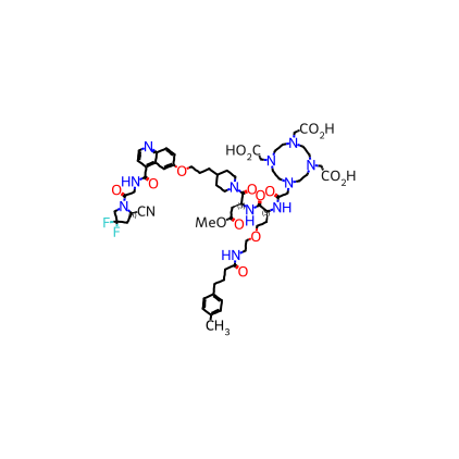 COC(=O)C[C@H](NC(=O)[C@H](CCOCCNC(=O)CCCc1ccc(C)cc1)NC(=O)CN1CCN(CC(=O)O)CCN(CC(=O)O)CCN(CC(=O)O)CC1)C(=O)N1CCC(CCCOc2ccc3nccc(C(=O)NCC(=O)N4CC(F)(F)C[C@@H]4C#N)c3c2)CC1